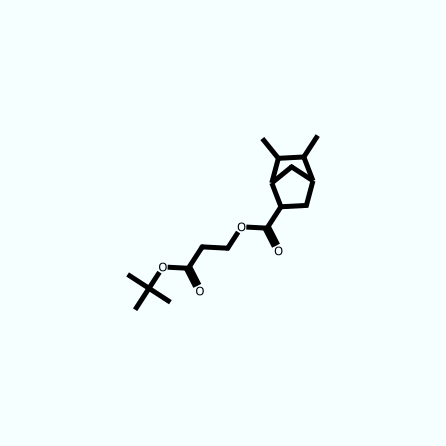 CC1C2CC(C(=O)OCCC(=O)OC(C)(C)C)C(C2)C1C